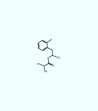 CC(Cc1ccccc1F)OC(=O)N(C(C)C)C(C)C